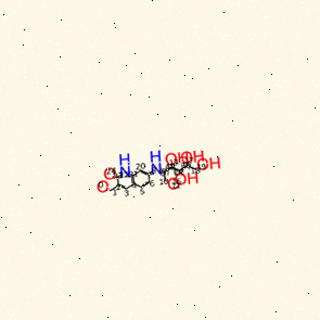 O=Cc1cc2ccc(N[C@@H](C=O)[C@@H](O)[C@H](O)[C@H](O)CO)cc2[nH]c1=O